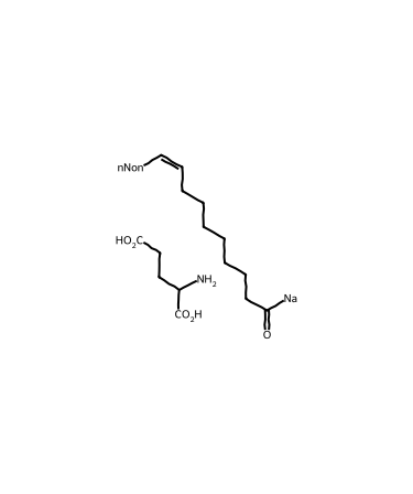 CCCCCCCCC/C=C\CCCCCCC[C](=O)[Na].NC(CCC(=O)O)C(=O)O